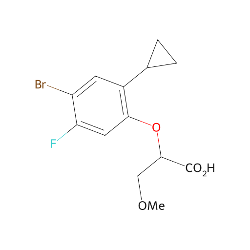 COCC(Oc1cc(F)c(Br)cc1C1CC1)C(=O)O